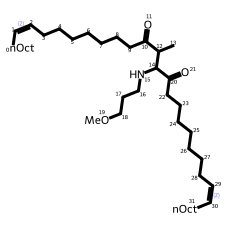 CCCCCCCC/C=C\CCCCCCCC(=O)C(C)C(NCCCOC)C(=O)CCCCCCC/C=C\CCCCCCCC